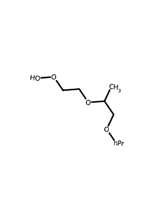 CCCOCC(C)OCCOO